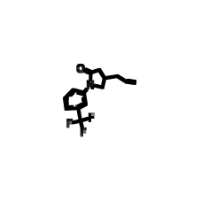 C=CCC1CC(=O)N(c2cccc(C(F)(F)F)c2)C1